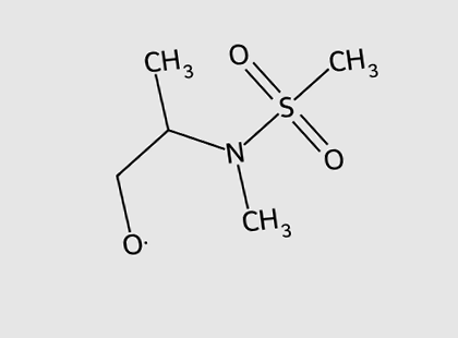 CC(C[O])N(C)S(C)(=O)=O